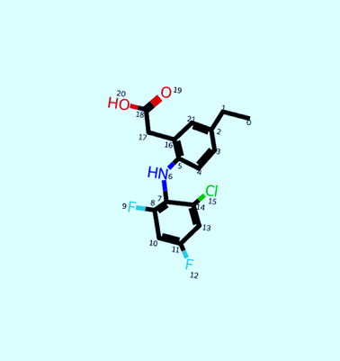 CCc1ccc(Nc2c(F)cc(F)cc2Cl)c(CC(=O)O)c1